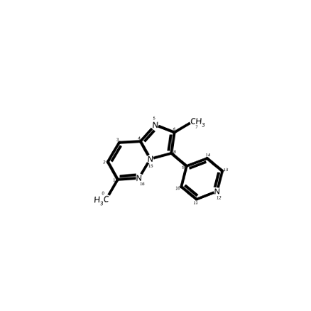 Cc1ccc2nc(C)c(-c3ccncc3)n2n1